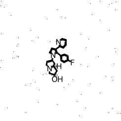 O[C@@H]1C[C@@H]2CC(n3ccc(-c4ccccn4)c3-c3ccc(F)cc3)=CCN2C1